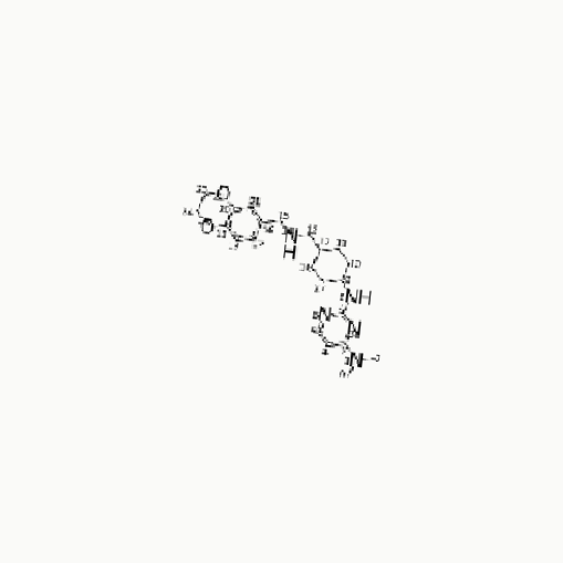 CN(C)c1ccnc(NC2CCC(CNCc3ccc4c(c3)OCCO4)CC2)n1